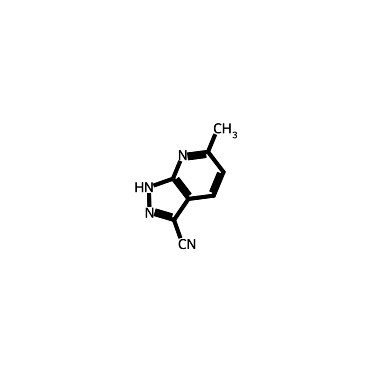 Cc1ccc2c(C#N)n[nH]c2n1